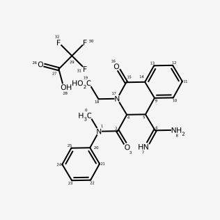 CN(C(=O)C1C(C(=N)N)c2ccccc2C(=O)N1CC(=O)O)c1ccccc1.O=C(O)C(F)(F)F